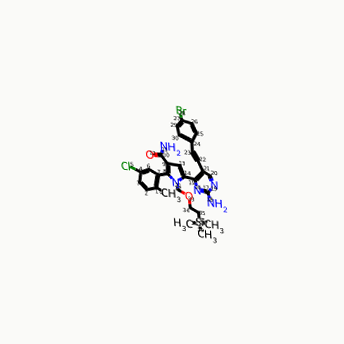 Cc1ccc(Cl)cc1-c1c(C(N)=O)cc(-c2nc(N)ncc2C#Cc2ccc(Br)cc2)n1COCC[Si](C)(C)C